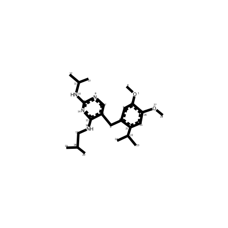 COc1cc(Cc2cnc(NC(C)C)nc2NCC(C)C)c(C(C)C)cc1OC